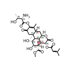 COC(=O)[C@@]12OC[C@]34C([C@@H](O)[C@@H]1O)[C@@]1(C)CC(=O)C(OC(=O)[C@@H](N)[C@@H](C)O)=C(C)[C@@H]1C[C@H]3OC(=O)[C@H](OC(=O)C=C(C)C)[C@@H]24